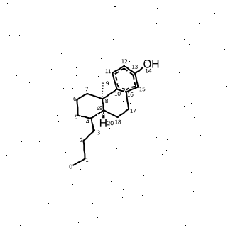 CCCC[C@H]1CCC[C@@]2(C)c3ccc(O)cc3CC[C@H]12